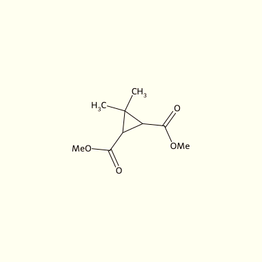 COC(=O)C1C(C(=O)OC)C1(C)C